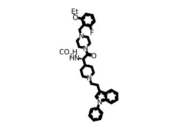 CCOc1cccc(F)c1CN1CCN(C(=O)[C@H](NC(=O)O)C2CCN(CCc3cn(-c4ccccc4)c4ccccc34)CC2)CC1